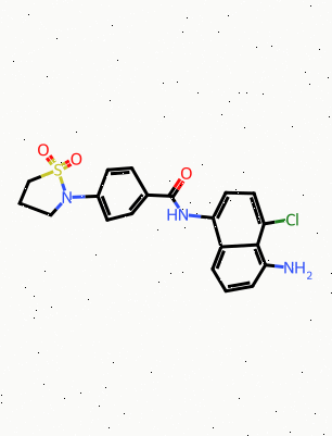 Nc1cccc2c(NC(=O)c3ccc(N4CCCS4(=O)=O)cc3)ccc(Cl)c12